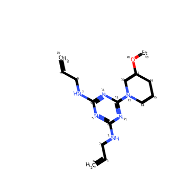 C=CCNc1nc(NCC=C)nc(N2CCCC(OCC)C2)n1